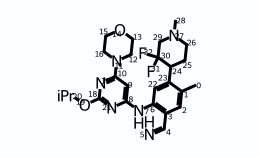 Cc1cc(C=N)c(Nc2cc(N3CCOCC3)nc(OC(C)C)n2)cc1C1CCN(C)CC1(F)F